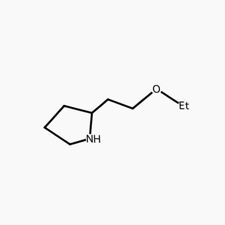 CCOCCC1CCCN1